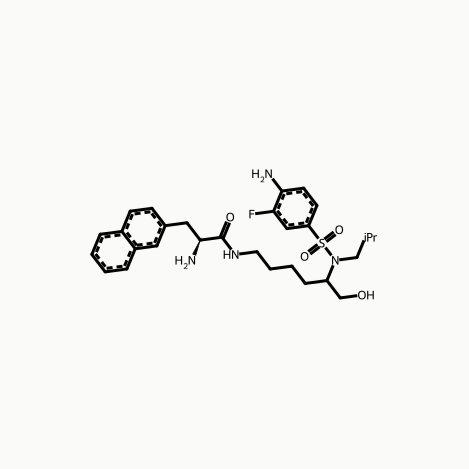 CC(C)CN(C(CO)CCCCNC(=O)[C@@H](N)Cc1ccc2ccccc2c1)S(=O)(=O)c1ccc(N)c(F)c1